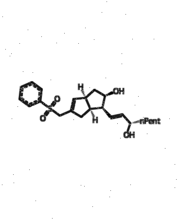 CCCCC[C@H](O)/C=C/[C@H]1[C@H]2CC(CS(=O)(=O)c3ccccc3)=C[C@H]2C[C@H]1O